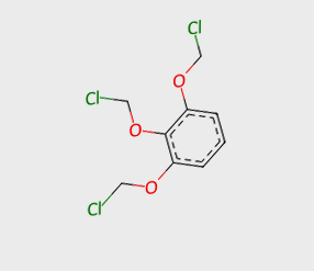 ClCOc1cccc(OCCl)c1OCCl